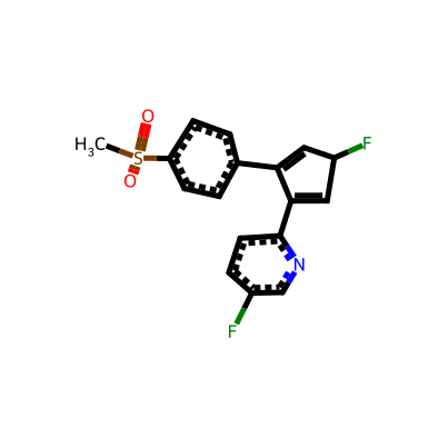 CS(=O)(=O)c1ccc(C2=CC(F)C=C2c2ccc(F)cn2)cc1